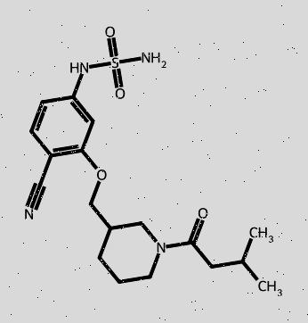 CC(C)CC(=O)N1CCCC(COc2cc(NS(N)(=O)=O)ccc2C#N)C1